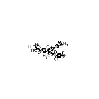 CCc1c(N2CCN(C(=O)c3ncnc(C)c3O)CC2)c(=O)n2nc(N3CC(S(C)(=O)=O)C3)nc2n1CC(=O)Nc1ccc(C(F)(F)F)cc1Cl